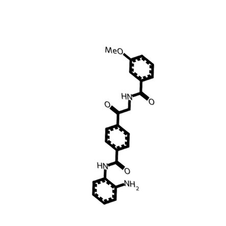 COc1cccc(C(=O)NCC(=O)c2ccc(C(=O)Nc3ccccc3N)cc2)c1